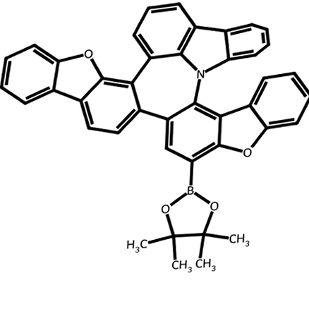 CC1(C)OB(c2cc3c(c4c2oc2ccccc24)-n2c4ccccc4c4cccc(c42)-c2c-3ccc3c2oc2ccccc23)OC1(C)C